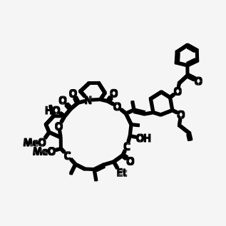 C=CCOC1CC(C=C(C)C2OC(=O)C3CCCCN3C(=O)C(=O)C3(O)OC(C(OC)CC(C)C/C(C)=C/C(CC)C(=O)CC(O)C2C)C(OC)CC3C)CCC1OCC(=O)c1ccccc1